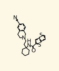 N#Cc1ccc2c(c1)CCN(CCC1(NC(=O)c3cc4sccc4s3)CCCCC1)C2